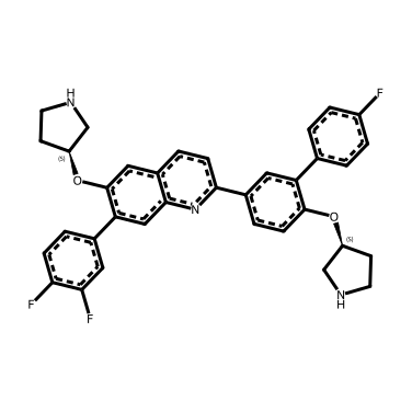 Fc1ccc(-c2cc(-c3ccc4cc(O[C@H]5CCNC5)c(-c5ccc(F)c(F)c5)cc4n3)ccc2O[C@H]2CCNC2)cc1